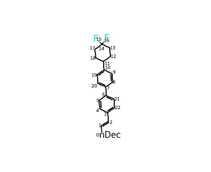 CCCCCCCCCCC=Cc1ccc(-c2ccc(C3CCC(F)(F)CC3)cc2)cc1